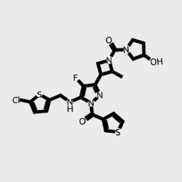 CC1C(c2nn(C(=O)c3ccsc3)c(NCc3ccc(Cl)s3)c2F)CN1C(=O)N1CCC(O)C1